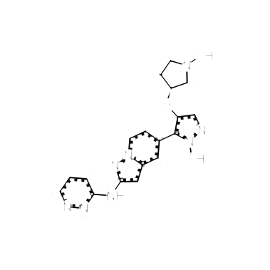 CN1CC[C@H](Oc2cnn(C)c2-c2ccn3nc(Nc4cccnn4)cc3c2)C1